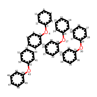 c1ccc(Oc2ccccc2)cc1.c1ccc(Oc2ccccc2)cc1.c1ccc(Oc2ccccc2)cc1.c1ccc(Oc2ccccc2)cc1